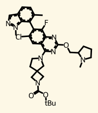 Cc1ccc2cnn(C)c2c1-c1c(Cl)cc2c(N3CCC4(CN(C(=O)OC(C)(C)C)C4)C3)nc(OCC3CCCN3C)nc2c1F